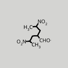 CC(CC([C]=O)CC(C)[N+](=O)[O-])[N+](=O)[O-]